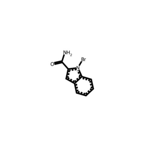 NC(=O)c1cc2ccccc2n1Br